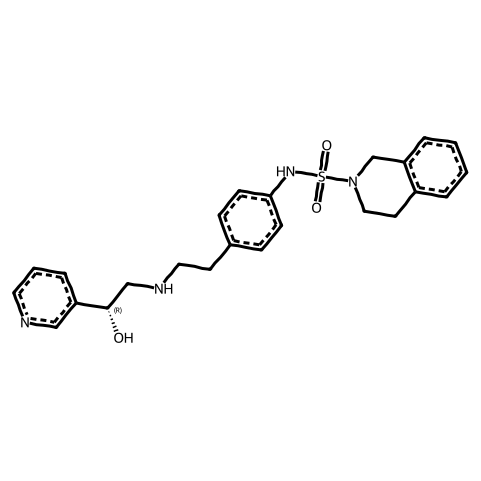 O=S(=O)(Nc1ccc(CCNC[C@H](O)c2cccnc2)cc1)N1CCc2ccccc2C1